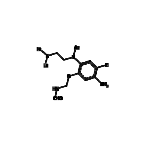 CCN(CC)CCN(C(C)=O)c1cc(Cl)c(N)cc1OCNC=O